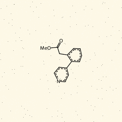 COC(=O)Cc1ccccc1-c1ccncc1